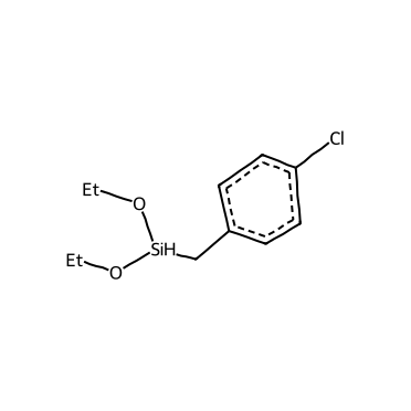 CCO[SiH](Cc1ccc(Cl)cc1)OCC